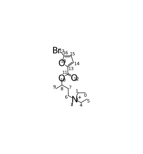 CC[N+](C)(CC)CCC(C)OC(=O)c1ccc(Br)o1